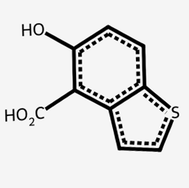 O=C(O)c1c(O)ccc2sccc12